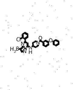 Bc1cnn2c(NC3CCN(C(=O)c4cccc(Oc5ccccc5)c4)CC3)cc(-c3ccccc3Cl)nc12